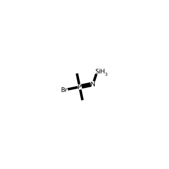 CP(C)(Br)=N[SiH3]